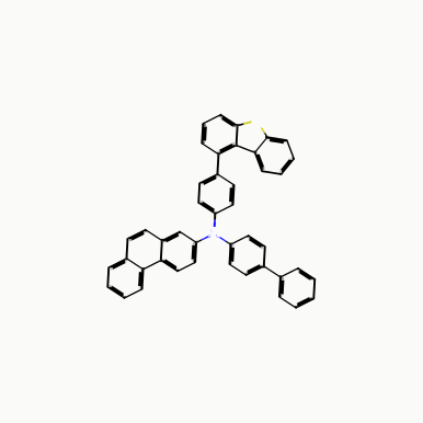 c1ccc(-c2ccc(N(c3ccc(-c4cccc5sc6ccccc6c45)cc3)c3ccc4c(ccc5ccccc54)c3)cc2)cc1